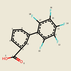 O=C(O)c1cccc(-c2c(F)c(F)c(F)c(F)c2F)c1